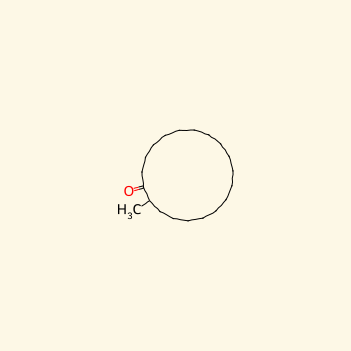 CC1CCCCCCCCCCCCCCCCCC1=O